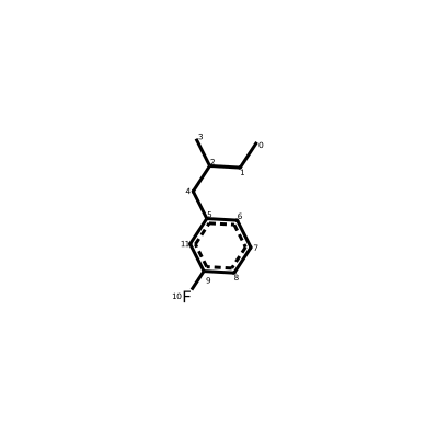 CCC(C)Cc1cccc(F)c1